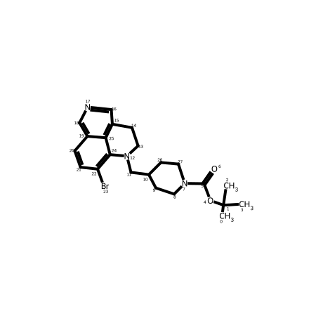 CC(C)(C)OC(=O)N1CCC(CN2CCc3cncc4ccc(Br)c2c34)CC1